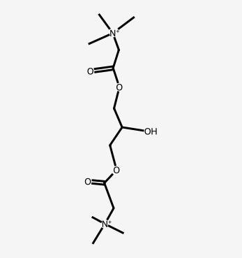 C[N+](C)(C)CC(=O)OCC(O)COC(=O)C[N+](C)(C)C